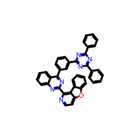 c1ccc(-c2nc(-c3ccccc3)nc(-c3cccc(-c4nc(-c5nccc6oc7ccccc7c56)nc5ccccc45)c3)n2)cc1